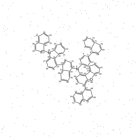 c1ccc2c(-c3ccc(N(c4ccc(-c5cccc6c5c5ccccc5n6-c5cccc6ccccc56)c5ccccc45)c4ccc(-c5cccc6ccccc56)c5oc6ccccc6c45)cc3)cccc2c1